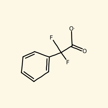 [O]C(=O)C(F)(F)c1ccccc1